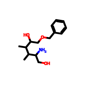 CC(C(N)CO)C(C)C(O)COCc1ccccc1